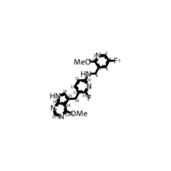 COc1ncc(F)cc1CNc1ccc(Cc2c[nH]c3ncnc(OC)c23)c(F)n1